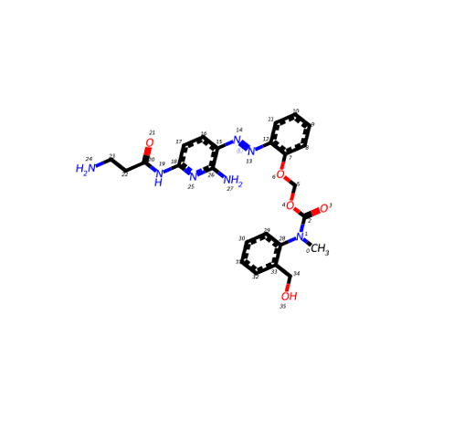 CN(C(=O)OCOc1ccccc1/N=N/c1ccc(NC(=O)CCN)nc1N)c1ccccc1CO